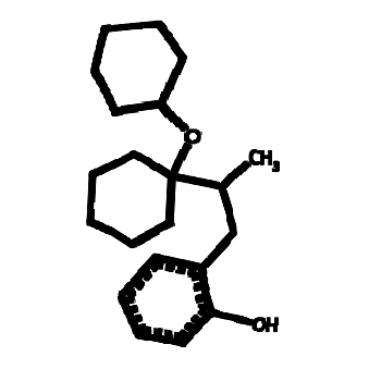 CC(Cc1ccccc1O)C1(OC2CCCCC2)CCCCC1